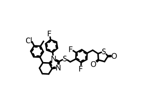 Cc1cc(C2CCCc3nc(SCc4c(F)cc(CC5SC(=O)CC5=O)cc4F)n(-c4ccc(F)cc4)c32)ccc1Cl